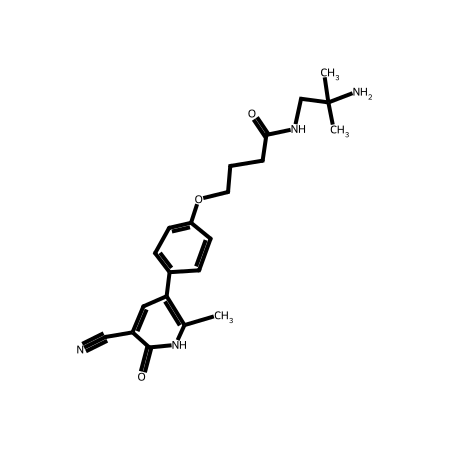 Cc1[nH]c(=O)c(C#N)cc1-c1ccc(OCCCC(=O)NCC(C)(C)N)cc1